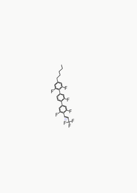 CCCCCc1cc(F)c(-c2ccc(-c3cc(F)c(/C=C/C(F)(F)F)c(F)c3)c(F)c2)c(F)c1